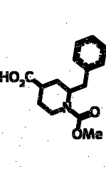 COC(=O)N1CCC(C(=O)O)CC1Cc1ccccc1